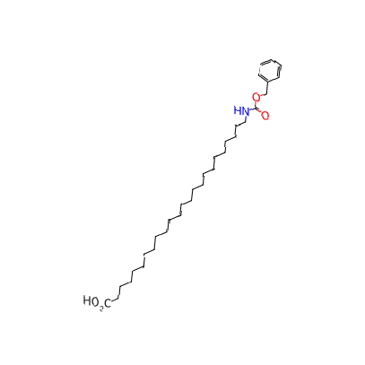 O=C(O)CCCCCCCCCCCCCCCCCCCCCCCNC(=O)OCc1ccccc1